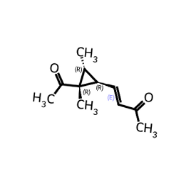 CC(=O)/C=C/[C@@H]1[C@@H](C)[C@@]1(C)C(C)=O